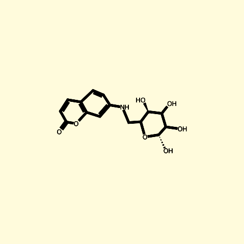 O=c1ccc2ccc(NCC3O[C@@H](O)C(O)C(O)[C@@H]3O)cc2o1